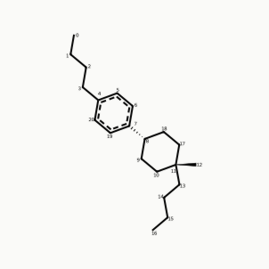 CCCCc1ccc([C@H]2CC[C@@](C)(CCCC)CC2)cc1